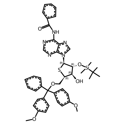 COc1ccc(C(OC[C@H]2S[C@@H](n3cnc4c(NC(=O)c5ccccc5)ncnc43)[C@H](O[Si](C)(C)C(C)(C)C)[C@H]2O)(c2ccccc2)c2ccc(OC)cc2)cc1